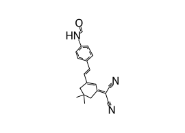 CC1(C)CC(C=Cc2ccc(NC=O)cc2)=CC(=C(C#N)C#N)C1